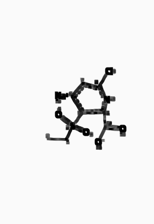 CCS(=O)(=O)c1ccc(Cl)nc1C(=O)[O-].[Na+]